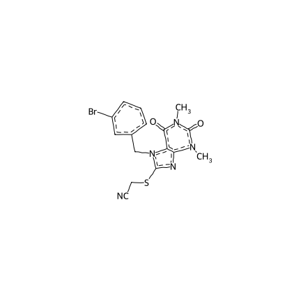 Cn1c(=O)c2c(nc(SCC#N)n2Cc2cccc(Br)c2)n(C)c1=O